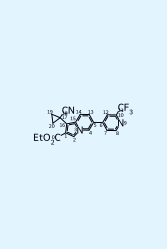 CCOC(=O)c1cn2cc(-c3ccnc(C(F)(F)F)c3)ccc2c1C1(C#N)CC1